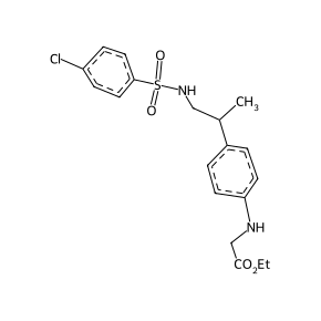 CCOC(=O)CNc1ccc(C(C)CNS(=O)(=O)c2ccc(Cl)cc2)cc1